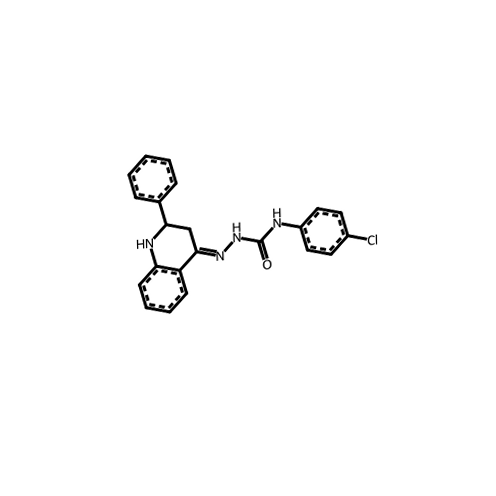 O=C(NN=C1CC(c2ccccc2)Nc2ccccc21)Nc1ccc(Cl)cc1